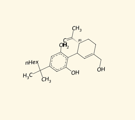 C=C(C)[C@@H]1CCC(CO)=CC1c1c(O)cc(C(C)(C)CCCCCC)cc1O